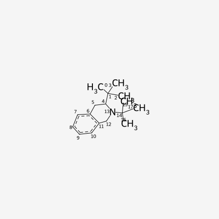 CC(C)(C)C1Cc2ccccc2CN1C(C)(C)C